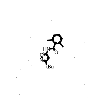 Cc1cccc(C)c1C(=O)Nc1cc(C(C)(C)C)no1